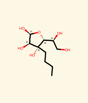 CCCC[C@]1(O)[C@@H]([C@@H](O)CO)O[C@H](O)[C@@H]1O